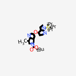 CC1CN(C(=O)OC(C)(C)C)Cc2cc(Oc3ccnc4c3ccn4S(C(C)C)(C(C)C)C(C)C)cnc21